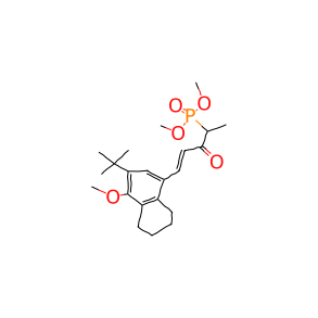 COc1c(C(C)(C)C)cc(C=CC(=O)C(C)P(=O)(OC)OC)c2c1CCCC2